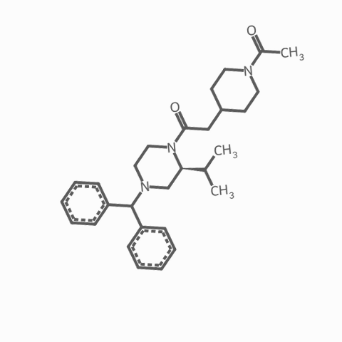 CC(=O)N1CCC(CC(=O)N2CCN(C(c3ccccc3)c3ccccc3)C[C@@H]2C(C)C)CC1